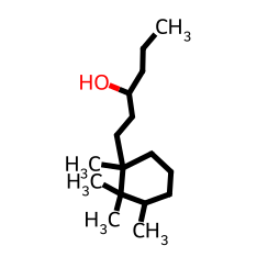 CCCC(O)CCC1(C)CCCC(C)C1(C)C